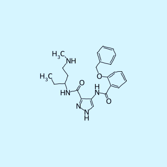 CCC(CCNC)NC(=O)c1n[nH]cc1NC(=O)c1ccccc1OCc1ccccc1